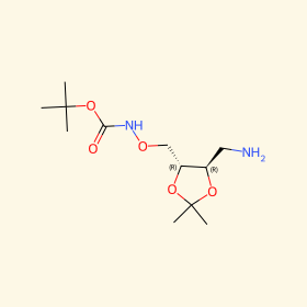 CC(C)(C)OC(=O)NOC[C@H]1OC(C)(C)O[C@@H]1CN